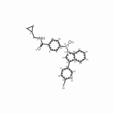 O=C(NCC1CC1)c1ccc([S+]([O-])n2cc(-c3ccc(F)nc3)c3ccccc32)cc1